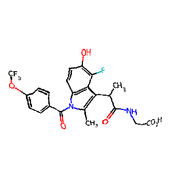 Cc1c(C(C)C(=O)NCC(=O)O)c2c(F)c(O)ccc2n1C(=O)c1ccc(OC(F)(F)F)cc1